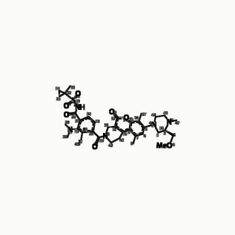 COC[C@H]1CN(c2cc(C)c3c4c(c(=O)oc3c2C)CN(C(=O)c2ccc(C(=O)NS(=O)(=O)C3(C)CC3)c(N(C)C)c2F)CC4)CCN1C